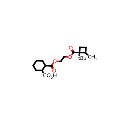 CC1CCC1(C(=O)OCCOC(=O)C1CCCCC1C(=O)O)C(C)(C)C